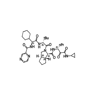 CCC[C@@H](NC(=O)[C@H]1[C@@H]2CCC[C@H]2CN1C(=O)[C@H](NC(=O)[C@@H](NC(=O)c1cnccn1)C1CCCCC1)C(C)(C)C)C(=O)C(=O)NC1CC1